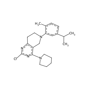 Cc1ccc(C(C)C)cc1N1CCc2nc(Cl)nc(N3CCCCC3)c2C1